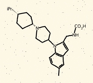 Cc1ccc2c(c1)cc(CNC(=O)O)n2C1CCN([C@H]2CC[C@@H](C(C)C)CC2)CC1